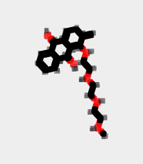 C=C1CC=C2C(=O)c3ccccc3C(=O)C2=C1OCCOCCOCCOC